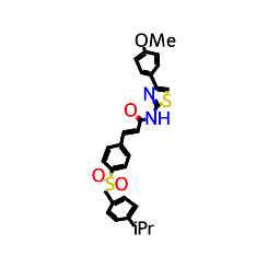 COc1ccc(-c2csc(NC(=O)C=Cc3ccc(S(=O)(=O)Cc4ccc(C(C)C)cc4)cc3)n2)cc1